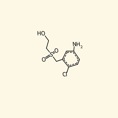 Nc1ccc(Cl)c(CS(=O)(=O)CCO)c1